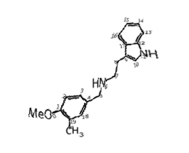 COc1ccc(CNCCc2c[nH]c3ccccc23)cc1C